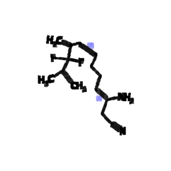 C=C(C)C(F)(F)C(=C)/C=C\CC/C=C(\N)CC#N